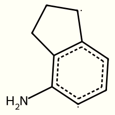 Nc1[c]ccc2c1CC[CH]2